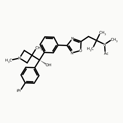 CC(=O)N(C)C(C)(C)Cc1nc(-c2cccc([C@@](O)(c3ccc(C(C)C)cc3)C3(C)CN(C)C3)c2)no1